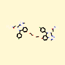 CCNC(=O)C[C@@H]1N=C(c2ccc(Cl)cc2)c2cc(OCCOCCOc3ccc4c(c3)C(c3ccc(Cl)cc3)=N[C@@H](CC(N)=O)c3nnc(C)n3-4)ccc2-n2c(C)nnc21